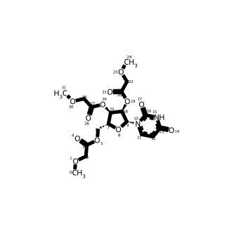 COCC(=O)OC[C@H]1O[C@@H](n2ccc(=O)[nH]c2=O)[C@H](OC(=O)COC)[C@@H]1OC(=O)COC